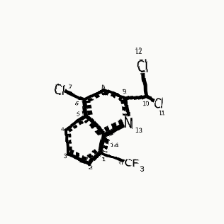 FC(F)(F)c1cccc2c(Cl)cc(C(Cl)Cl)nc12